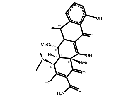 CN[C@@]12C(=O)C(C(N)=O)=C(O)[C@@H](N(C)C)[C@H]1[C@H](OC)C1C(=C2O)C(=O)c2c(O)cccc2[C@@H]1C